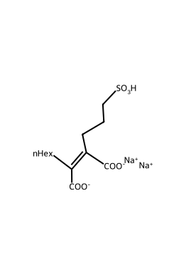 CCCCCCC(C(=O)[O-])=C(CCCS(=O)(=O)O)C(=O)[O-].[Na+].[Na+]